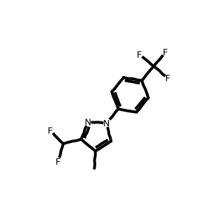 Cc1cn(-c2ccc(C(F)(F)F)cc2)nc1C(F)F